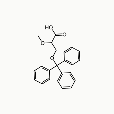 COC(COC(c1ccccc1)(c1ccccc1)c1ccccc1)C(=O)O